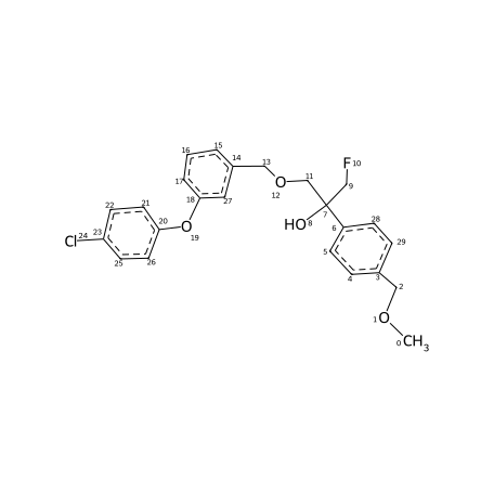 COCc1ccc(C(O)(CF)COCc2cccc(Oc3ccc(Cl)cc3)c2)cc1